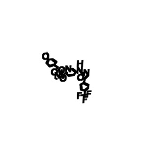 COc1ccc(CON(C)S(=O)(=O)c2ccc(Nc3ncc(-c4ccc(C(F)(F)F)cc4)o3)cn2)cc1